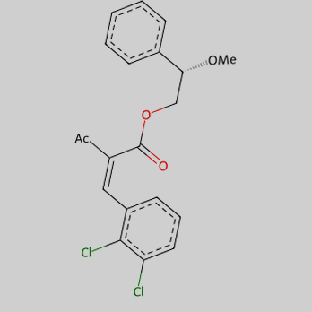 CO[C@H](COC(=O)C(=Cc1cccc(Cl)c1Cl)C(C)=O)c1ccccc1